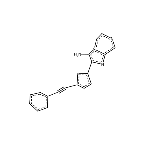 Nc1c(-c2ccc(C#Cc3ccccc3)s2)nc2cnccn12